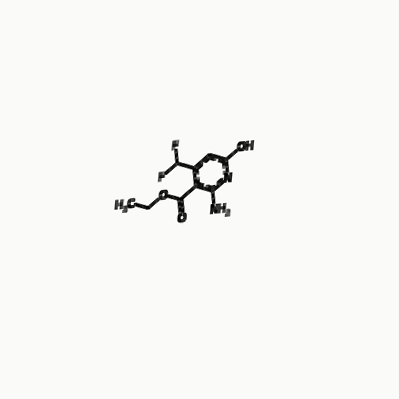 CCOC(=O)c1c(C(F)F)cc(O)nc1N